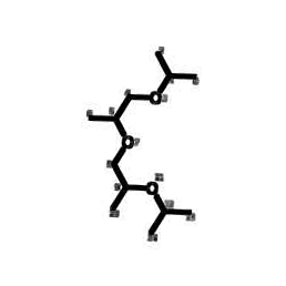 CC(C)OCC(C)OCC(C)OC(C)C